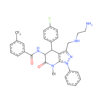 CCN1C(=O)C(NC(=O)c2cccc(C(F)(F)F)c2)C(c2ccc(F)cc2)c2c(CNCCN)nn(-c3ccccc3)c21